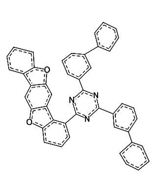 c1ccc(-c2cccc(-c3nc(-c4cccc(-c5ccccc5)c4)nc(-c4cccc5oc6cc7c(cc6c45)oc4ccccc47)n3)c2)cc1